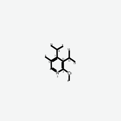 COc1ncc(C)c(C(C)C)c1C(C)C